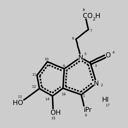 CC(C)c1nc(=O)n(CCC(=O)O)c2ccc(O)c(O)c12.I